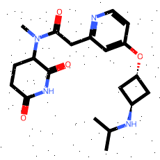 CC(C)N[C@H]1C[C@H](Oc2ccnc(CC(=O)N(C)C3CCC(=O)NC3=O)c2)C1